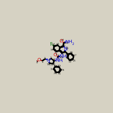 COCCN1C[C@@H](NC(=O)Nc2c(-c3ccccc3)nc(C(N)=O)c3cc(F)ccc23)[C@H](c2ccccc2)C1